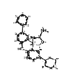 NC1=N[C@]2(CO1)c1cc(-c3ccccc3)ccc1Oc1ncc(C3=CCOCC3)cc12